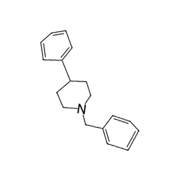 c1ccc(CN2CCC(c3ccccc3)CC2)cc1